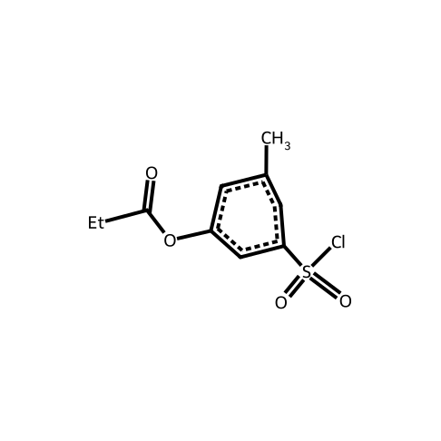 CCC(=O)Oc1cc(C)cc(S(=O)(=O)Cl)c1